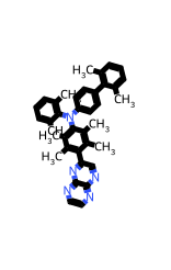 Cc1cccc(C)c1-c1ccc(N(c2c(C)cccc2C)c2c(C)c(C)c(-c3cnc4nccnc4n3)c(C)c2C)cc1